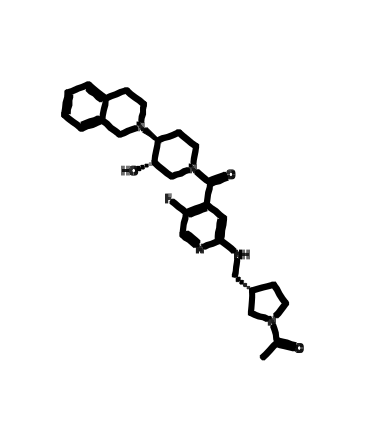 CC(=O)N1CC[C@@H](CNc2cc(C(=O)N3CC[C@H](N4CCc5ccccc5C4)[C@@H](O)C3)c(F)cn2)C1